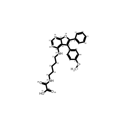 COc1ccc(-c2c(-c3ccccc3)oc3ncnc(NCCCCCNC(=O)C(=O)O)c23)cc1